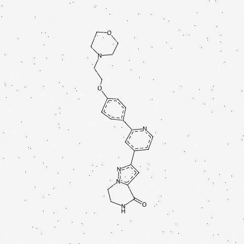 O=C1NCCn2nc(-c3ccnc(-c4ccc(OCCN5CCOCC5)cc4)c3)cc21